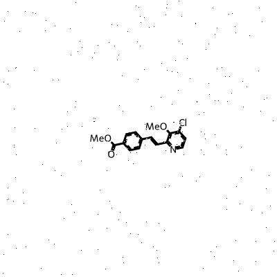 COC(=O)c1ccc(C=Cc2nccc(Cl)c2OC)cc1